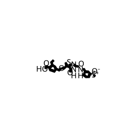 CCc1cc(COCc2csc3nc(C(=O)NCc4cccc([S+](C)[O-])c4)[nH]c(=O)c23)ccc1C(=O)O